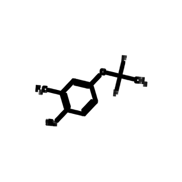 CC(F)(F)Oc1ccc(C(C)(C)C)c(C(F)(F)F)c1